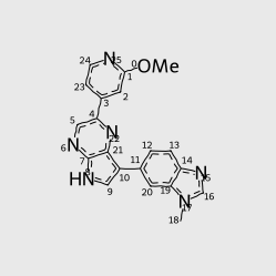 COc1cc(-c2cnc3[nH]cc(-c4ccc5ncn(C)c5c4)c3n2)ccn1